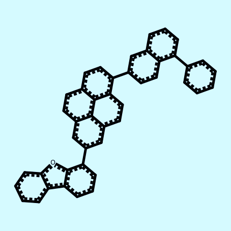 c1ccc(-c2cccc3cc(-c4ccc5ccc6cc(-c7cccc8c7oc7ccccc78)cc7ccc4c5c67)ccc23)cc1